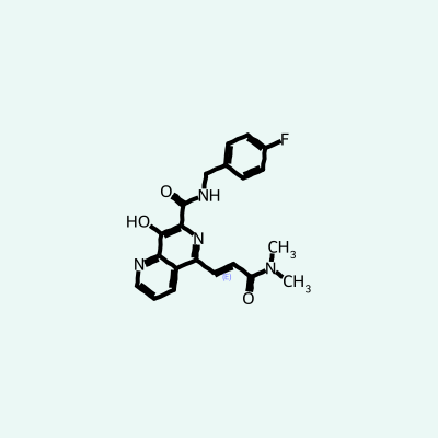 CN(C)C(=O)/C=C/c1nc(C(=O)NCc2ccc(F)cc2)c(O)c2ncccc12